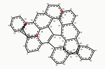 c1ccc(-c2cccc(C(=C(c3c4ccccc4cc4ccccc34)c3c4ccccc4cc4ccccc34)c3cccc(-c4ccccc4)n3)n2)cc1